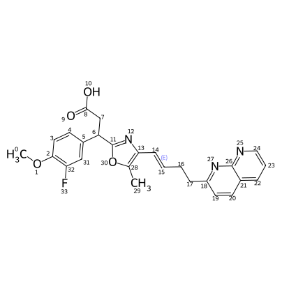 COc1ccc(C(CC(=O)O)c2nc(/C=C/CCc3ccc4cccnc4n3)c(C)o2)cc1F